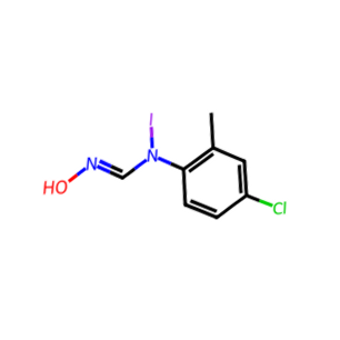 Cc1cc(Cl)ccc1N(I)C=NO